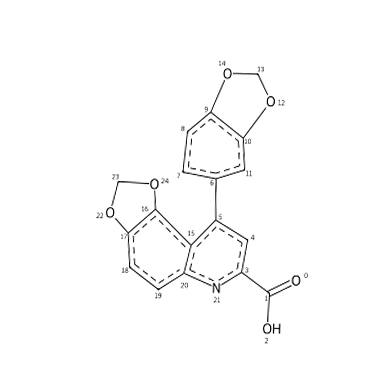 O=C(O)c1cc(-c2ccc3c(c2)OCO3)c2c3c(ccc2n1)OCO3